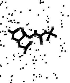 CC(=O)CN(CC(C)=O)C(=O)CNC(=O)OC(C)(C)C